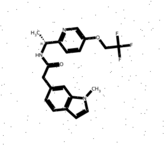 C[C@@H](NC(=O)Cc1ccc2ccn(C)c2c1)c1ccc(OCC(F)(F)F)cn1